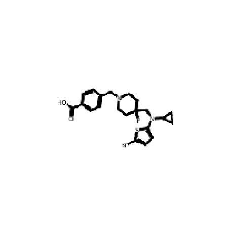 O=C(O)c1ccc(CN2CCC(F)(CN(c3ccc(Br)s3)C3CC3)CC2)cc1